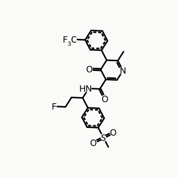 CC1=NC=C(C(=O)NC(CCF)c2ccc(S(C)(=O)=O)cc2)C(=O)C1c1cccc(C(F)(F)F)c1